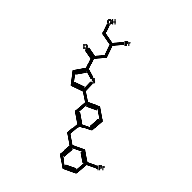 CC(C)c1cccc(Cc2cccc(-c3ccc(C(=O)CC(CO)C(C)C)s3)c2)c1